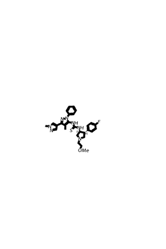 COCCN1C[C@@H](NC(=S)Nc2c(C)c(-c3cnn(C)c3)nn2-c2ccccc2)[C@H](c2ccc(F)cc2)C1